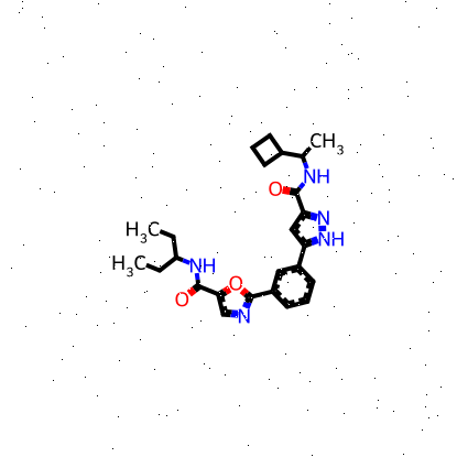 CCC(CC)NC(=O)c1cnc(-c2cccc(-c3cc(C(=O)NC(C)C4CCC4)n[nH]3)c2)o1